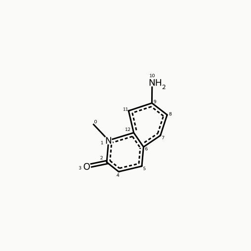 Cn1c(=O)ccc2ccc(N)cc21